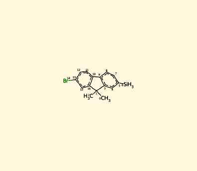 CC1(C)c2cc([SiH3])ccc2-c2ccc(Br)cc21